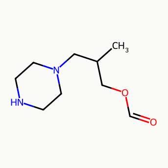 CC(COC=O)CN1CCNCC1